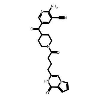 N#Cc1cc(C(=O)C2CCN(C(=O)CCCc3cn4cccc4c(=O)[nH]3)CC2)cnc1N